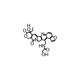 CC[C@@]1(O)C(=O)OCc2c1cc1n(c2=O)Cc2c-1nc1ccc3occc3c1c2CNC(=O)CO